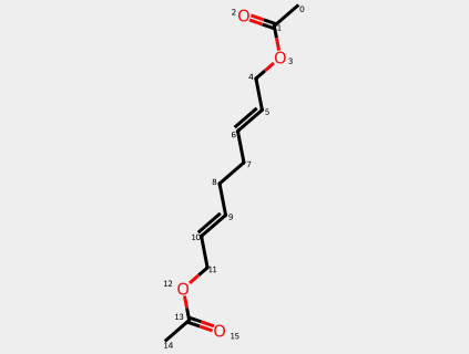 CC(=O)OC/C=C/CC/C=C/COC(C)=O